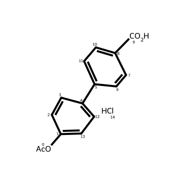 CC(=O)Oc1ccc(-c2ccc(C(=O)O)cc2)cc1.Cl